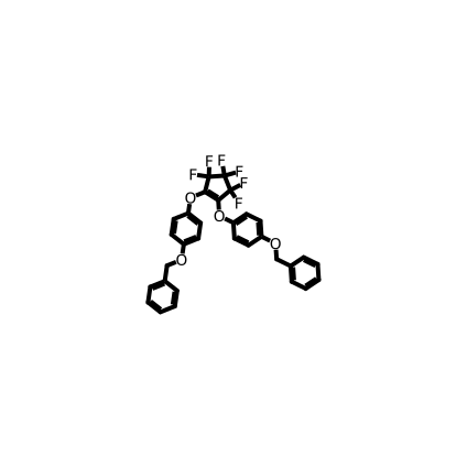 FC1(F)C(Oc2ccc(OCc3ccccc3)cc2)=C(Oc2ccc(OCc3ccccc3)cc2)C(F)(F)C1(F)F